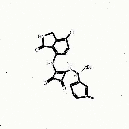 Cc1cccc([C@H](Nc2c(Nc3ccc(Cl)c4c3C(=O)NC4)c(=O)c2=O)C(C)(C)C)c1